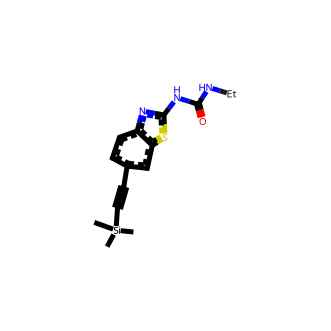 CCNC(=O)Nc1nc2ccc(C#C[Si](C)(C)C)cc2s1